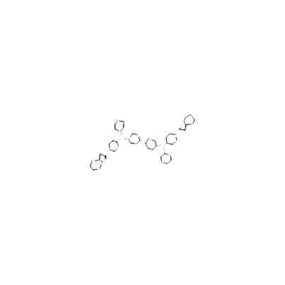 c1ccc(N(c2ccc(-c3ccc(N(c4ccccc4)c4ccc(-c5cc6ccccc6o5)cc4)cc3)cc2)c2ccc(-c3cc4ccccc4o3)cc2)cc1